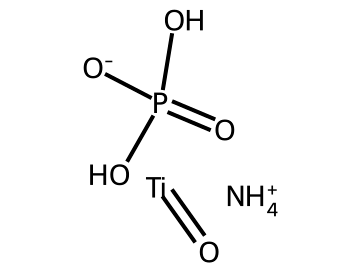 O=P([O-])(O)O.[NH4+].[O]=[Ti]